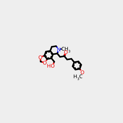 COc1ccc(CCC(=O)CC2c3c(cc4c(c3CO)OCO4)CCN2C)cc1